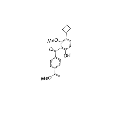 C=C(OC)c1ccc(C(=O)c2c(O)ccc(C3CCC3)c2OC)cc1